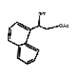 CCCC(COC(C)=O)c1cccc2ccccc12